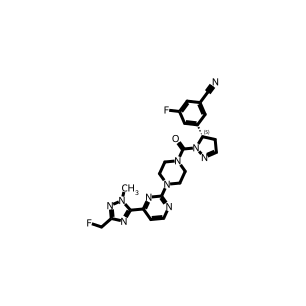 Cn1nc(CF)nc1-c1ccnc(N2CCN(C(=O)N3N=CC[C@H]3c3cc(F)cc(C#N)c3)CC2)n1